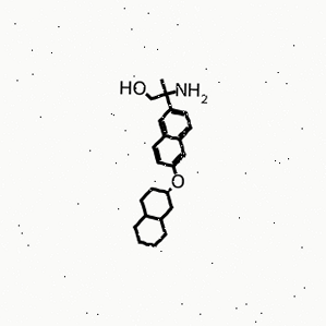 CC(N)(CO)c1ccc2cc(O[C@@H]3CCC4CCCCC4C3)ccc2c1